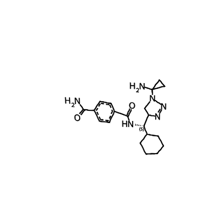 NC(=O)c1ccc(C(=O)N[C@@H](C2CCCCC2)C2CN(C3(N)CC3)N=N2)cc1